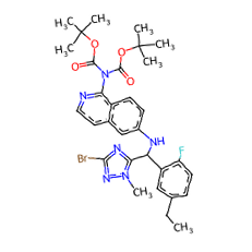 CCc1ccc(F)c(C(Nc2ccc3c(N(C(=O)OC(C)(C)C)C(=O)OC(C)(C)C)nccc3c2)c2nc(Br)nn2C)c1